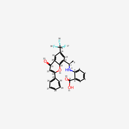 C[C@@H](Nc1ccccc1C(=O)O)c1cc(C(F)(F)F)cc2c(=O)cc(-c3ccccc3)oc12